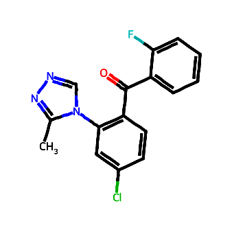 Cc1nncn1-c1cc(Cl)ccc1C(=O)c1ccccc1F